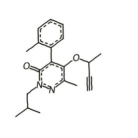 C#CC(C)Oc1c(C)nn(CC(C)C)c(=O)c1-c1ccccc1C